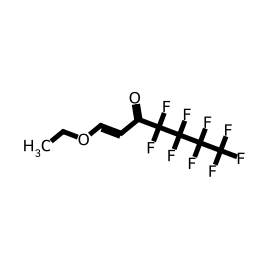 CCOC=CC(=O)C(F)(F)C(F)(F)C(F)(F)C(F)(F)F